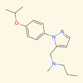 CCCN(C)Cc1ccnn1-c1ccc(OC(C)C)cc1